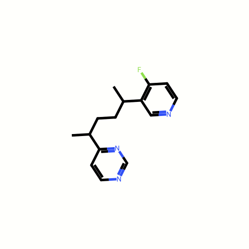 CC(CCC(C)c1cnccc1F)c1ccncn1